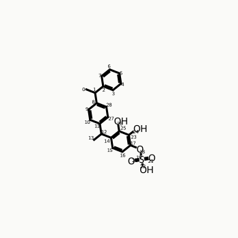 CC(c1ccccc1)c1ccc(C(C)c2ccc(OS(=O)(=O)O)c(O)c2O)cc1